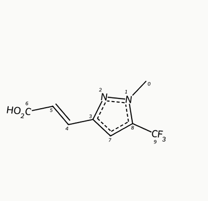 Cn1nc(/C=C/C(=O)O)cc1C(F)(F)F